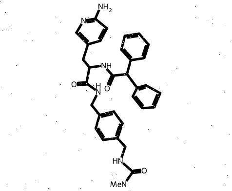 CNC(=O)NCc1ccc(CNC(=O)C(Cc2ccc(N)nc2)NC(=O)C(c2ccccc2)c2ccccc2)cc1